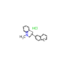 CNC[C@@H](Cc1ccccc1)c1ccc2ccccc2c1.Cl